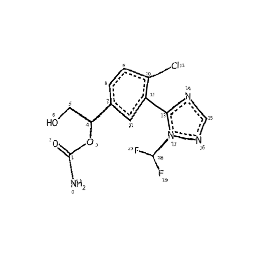 NC(=O)OC(CO)c1ccc(Cl)c(-c2ncnn2C(F)F)c1